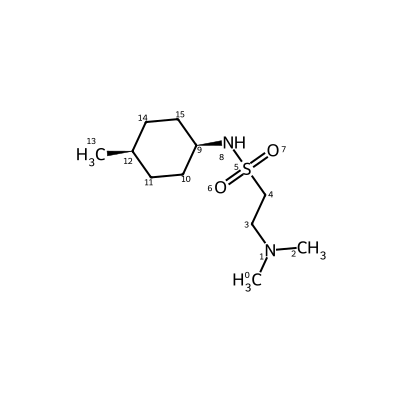 CN(C)CCS(=O)(=O)N[C@H]1CC[C@@H](C)CC1